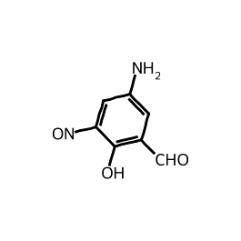 Nc1cc(C=O)c(O)c(N=O)c1